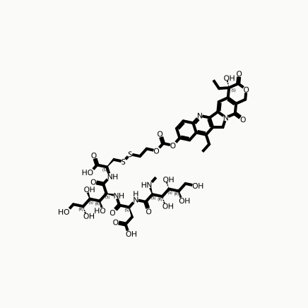 CCc1c2c(nc3ccc(OC(=O)OCCSSC[C@@H](NC(=O)[C@@H](NC(=O)[C@H](CC(=O)O)NC(=O)[C@@H](NC)[C@@H](O)[C@H](O)[C@H](O)CO)[C@@H](O)[C@H](O)[C@H](O)CO)C(=O)O)cc13)-c1cc3c(c(=O)n1C2)COC(=O)[C@]3(O)CC